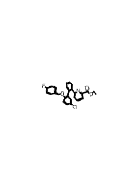 CCOC(=O)c1cccc(-c2ccccc2-c2cc(Cl)ccc2OCc2ccc(F)cc2)n1